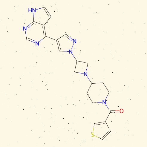 O=C(c1ccsc1)N1CCC(N2C[C](n3cc(-c4ncnc5[nH]ccc45)cn3)C2)CC1